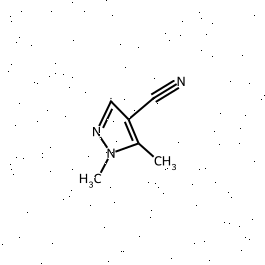 Cc1c(C#N)[c]nn1C